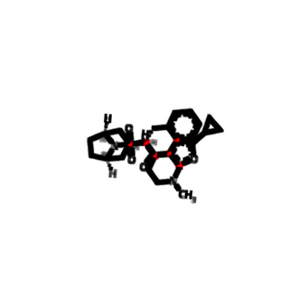 CN1CCC([C@@H](Cc2ccccc2)S(=O)(=O)N2[C@@H]3CC[C@H]2C[C@@H](NC(=O)c2cc(C4CC4)on2)C3)CC1